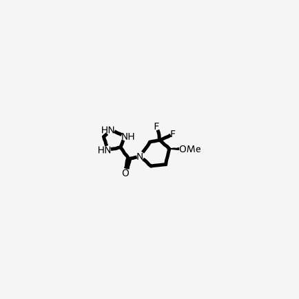 CO[C@H]1CCN(C(=O)C2NCNN2)CC1(F)F